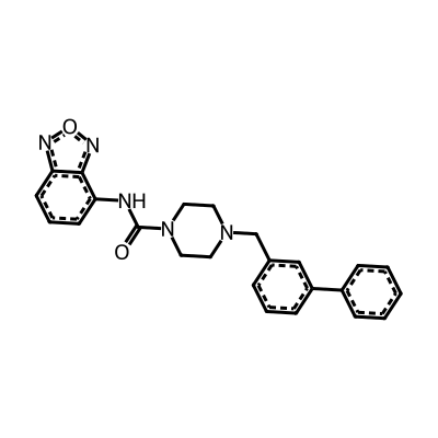 O=C(Nc1cccc2nonc12)N1CCN(Cc2cccc(-c3ccccc3)c2)CC1